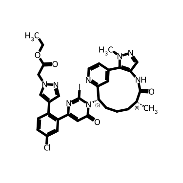 CCOC(=O)Cn1cc(-c2ccc(Cl)cc2-c2cc(=O)n([C@H]3CCC[C@@H](C)C(=O)Nc4cnn(C)c4-c4ccnc3c4)c(I)n2)cn1